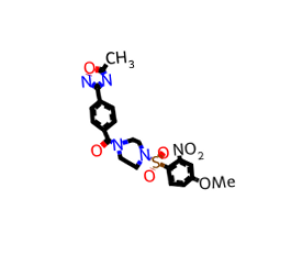 COc1ccc(S(=O)(=O)N2CCN(C(=O)c3ccc(-c4noc(C)n4)cc3)CC2)c([N+](=O)[O-])c1